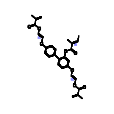 C=C(C)C(=O)O/C=C/Oc1ccc(-c2ccc(O/C=C/OC(=O)C(=C)C)cc2OC(=O)/C(C)=C/C)cc1